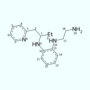 CCC(Cc1ccccn1)Nc1ccccc1NCCN